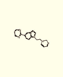 C1=CN(CCn2ccc3cc(-c4ncccn4)ccc32)CN=C1